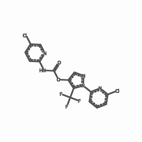 O=C(Nc1ccc(Cl)cn1)Oc1cnn(-c2cccc(Cl)n2)c1C(F)(F)F